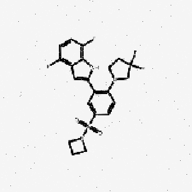 O=S(=O)(c1ccc(N2CCC(F)(F)C2)c(-c2cc3c(F)ccc(F)c3[nH]2)c1)N1CCC1